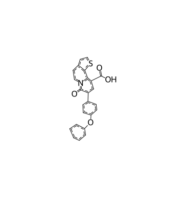 O=C(O)c1cc(-c2ccc(Oc3ccccc3)cc2)c(=O)n2ccc3ccsc3c12